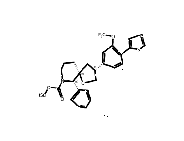 CC(C)(C)OC(=O)N1CCC[C@@]2(C[C@H](c3ccc(-c4cccs4)c(OC(F)(F)F)c3)CO2)[C@@H]1c1ccccc1